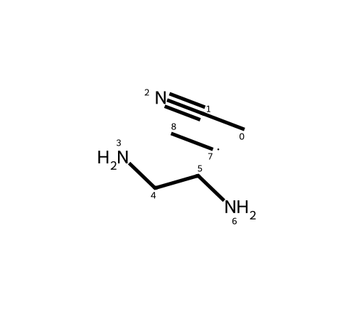 CC#N.NCCN.[CH2]C